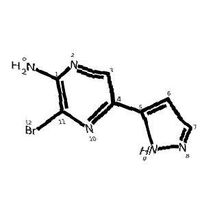 Nc1ncc(-c2ccn[nH]2)nc1Br